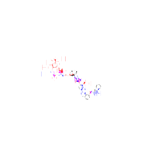 Cc1c(-c2ccc(N3CCc4cccc(C(=O)Nc5nc6ccccc6s5)c4C3)nc2C(O)O)cnn1CC12CC3(C)CC(C)(C1)CC(OCCN(CCC(N)=O)C(=O)OC[C@@H]1O[C@H](C(=O)O)[C@@H](O)[C@H](O)[C@H]1O)(C3)C2